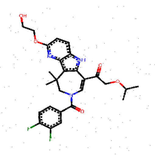 CC(C)OCC(=O)C1=CN(C(=O)c2ccc(F)c(F)c2)CC(C)(C)c2c1[nH]c1ccc(OCCO)nc21